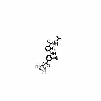 COc1c(Nc2ccc(C(=O)N=C3NCCN3)cc2C2CC2)cccc1C(=O)NCCC(C)C